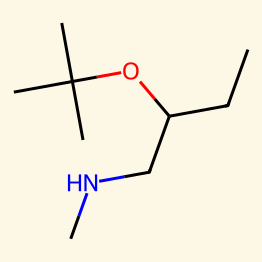 CCC(CNC)OC(C)(C)C